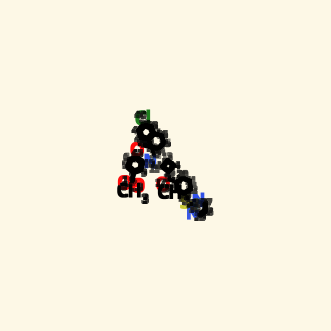 COC(=O)c1ccc2c(c1)N(C[C@@H]1CC[C@H]1C(OC)[C@H]1CCC[C@H](Sc3ncccn3)C1)C[C@@]1(CCCc3cc(Cl)ccc31)CO2